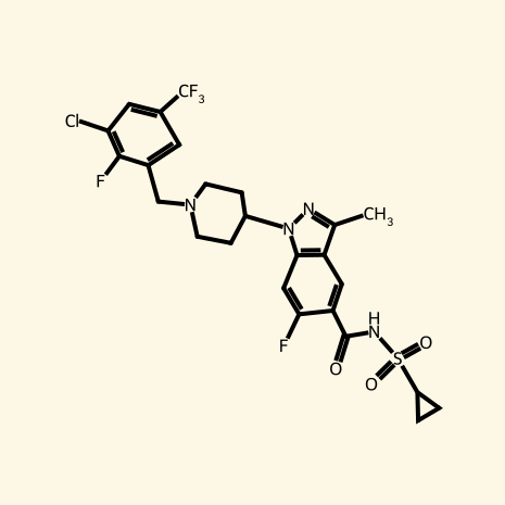 Cc1nn(C2CCN(Cc3cc(C(F)(F)F)cc(Cl)c3F)CC2)c2cc(F)c(C(=O)NS(=O)(=O)C3CC3)cc12